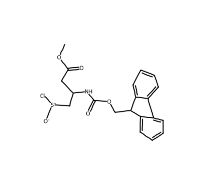 COC(=O)CC(C[S+]([O-])Cl)NC(=O)OCC1c2ccccc2-c2ccccc21